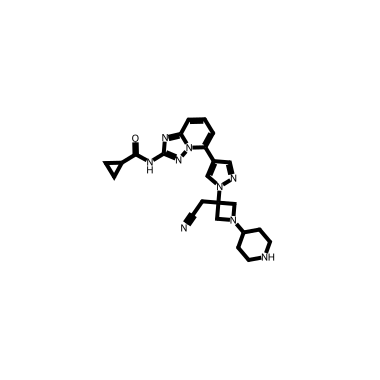 N#CCC1(n2cc(-c3cccc4nc(NC(=O)C5CC5)nn34)cn2)CN(C2CCNCC2)C1